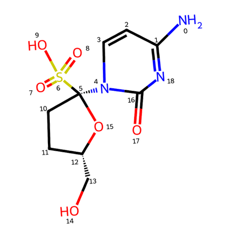 Nc1ccn([C@@]2(S(=O)(=O)O)CC[C@@H](CO)O2)c(=O)n1